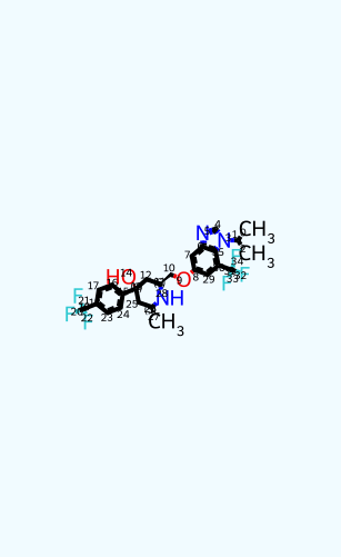 CC(C)n1cnc2cc(OC[C@@H]3C[C@](O)(c4ccc(C(F)(F)F)cc4)C[C@H](C)N3)cc(C(F)(F)F)c21